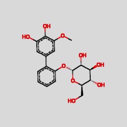 COc1cc(-c2ccccc2O[C@H]2O[C@H](CO)[C@@H](O)[C@H](O)[C@H]2O)cc(O)c1O